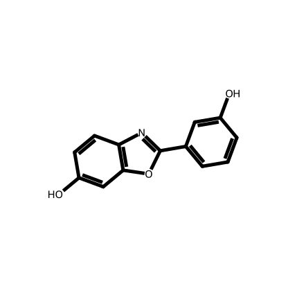 Oc1cccc(-c2nc3ccc(O)cc3o2)c1